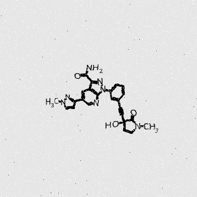 CN1CCC(O)(C#Cc2cccc(-n3nc(C(N)=O)c4cc(-c5ccn(C)n5)cnc43)c2)C1=O